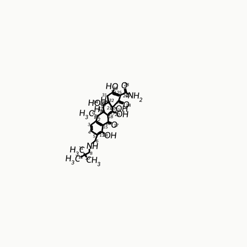 C[C@H]1c2ccc(CNCC(C)(C)C)c(O)c2C(=O)C2=C(O)[C@]3(O)C(=O)C(C(N)=O)=C(O)C[C@@H]3[C@@H](O)[C@@H]21